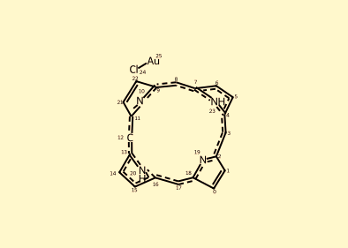 C1=Cc2cc3ccc(cc4nc(cc5ccc(cc1n2)[nH]5)C=C4)[nH]3.[Cl][Au]